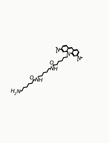 CN(C)c1ccc2cc3ccc(N(C)C)cc3[n+](CCCCCC(=O)NCCCCCNC(=O)CCCCCN)c2c1